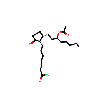 CCCCC[C@@H](CC[C@H]1CCC(=O)[C@@H]1CCCCCCC(=O)Cl)OC(C)=O